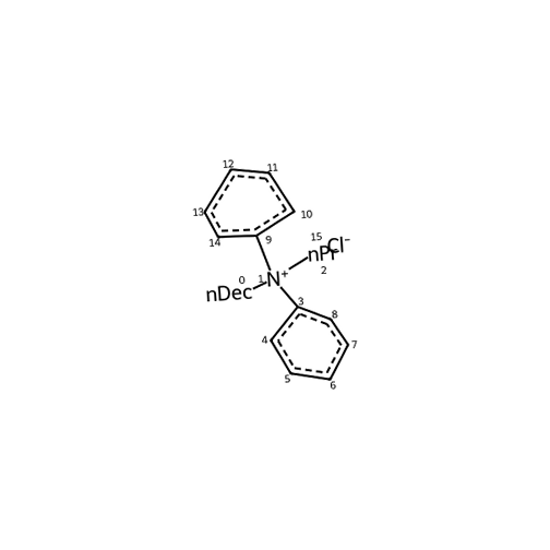 CCCCCCCCCC[N+](CCC)(c1ccccc1)c1ccccc1.[Cl-]